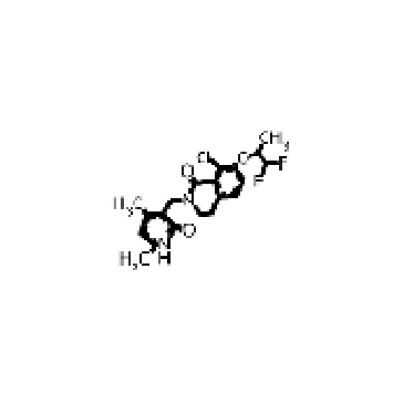 Cc1cc(C)c(CN2CCc3ccc(OC(C)C(F)F)c(Cl)c3C2=O)c(=O)[nH]1